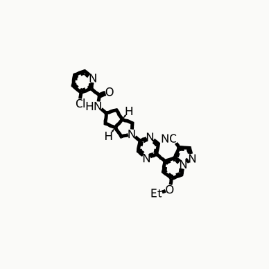 CCOc1cc(-c2cnc(N3C[C@H]4CC(NC(=O)c5ncccc5Cl)C[C@H]4C3)cn2)c2c(C#N)cnn2c1